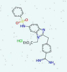 CCOC(=O)Cn1c(Cc2ccc(C(=N)N)cc2)nc2ccc(NS(=O)(=O)c3ccccc3)cc21.Cl